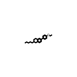 CCCCCC1CCc2cc(-c3ccc(OCC)cc3)ccc2C1